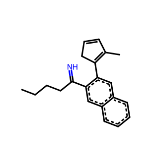 CCCCC(=N)c1cc2ccccc2cc1C1=C(C)C=CC1